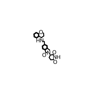 O=C1CCC(N2Cc3cc(CN[C@H]4CCOc5ccccc54)ccc3C2=O)C(=O)N1